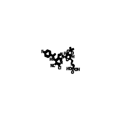 CC(Nc1c(C#N)c(Cl)nc2c1cnn2[C@@H]1O[C@H](CSCP(=O)(O)O)[C@H]2OC(C)(C)O[C@H]21)c1ccc(F)cc1